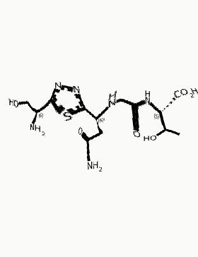 CC(O)[C@H](NC(=O)N[C@@H](CC(N)=O)c1nnc([C@@H](N)CO)s1)C(=O)O